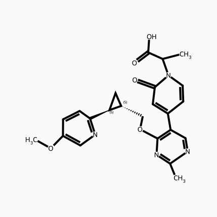 COc1ccc([C@H]2C[C@@H]2COc2nc(C)ncc2-c2ccn(C(C)C(=O)O)c(=O)c2)nc1